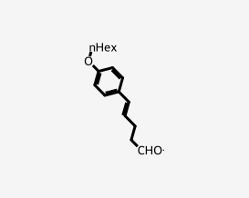 CCCCCCOc1ccc(/C=C/CC[C]=O)cc1